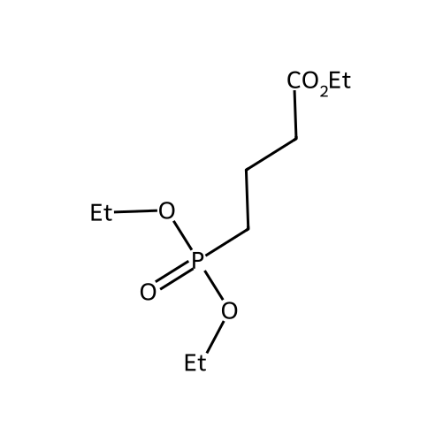 CCOC(=O)CCCP(=O)(OCC)OCC